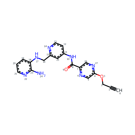 C#CCOc1cnc(C(=O)Nc2ccnc(CNc3cccnc3N)c2)cn1